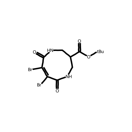 CC(C)(C)OC(=O)C1CNC(=O)/C(Br)=C(/Br)C(=O)NC1